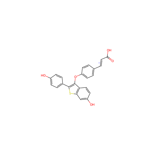 O=C(O)/C=C/c1ccc(Oc2c(-c3ccc(O)cc3)sc3cc(O)ccc23)cc1